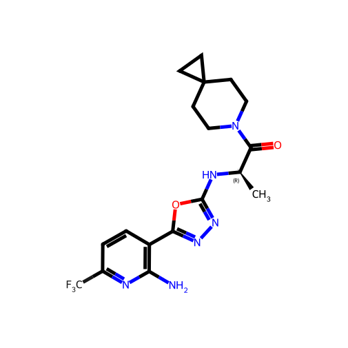 C[C@@H](Nc1nnc(-c2ccc(C(F)(F)F)nc2N)o1)C(=O)N1CCC2(CC1)CC2